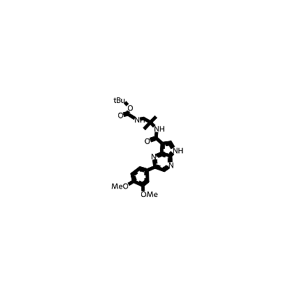 COc1ccc(-c2cnc3[nH]cc(C(=O)NC(C)(C)CNC(=O)OC(C)(C)C)c3n2)cc1OC